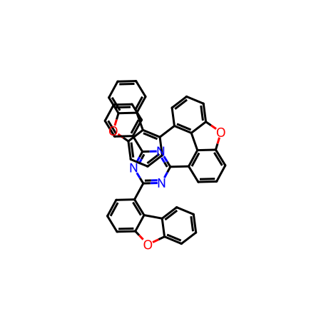 c1ccc(-c2nc(-c3cccc4oc5ccccc5c34)nc(-c3cccc4oc5cccc(-c6cccc7oc8ccccc8c67)c5c34)n2)cc1